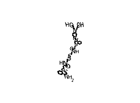 Nc1cc[n+](CCCC(=O)NCCSSCCNC(=O)CCC[n+]2ccc(/N=N/c3ccc(N(CCO)CCO)cc3)c3ccccc32)c2ccccc12